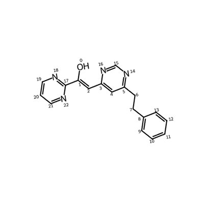 O/C(=C\c1cc(CCc2ccccc2)ncn1)c1ncccn1